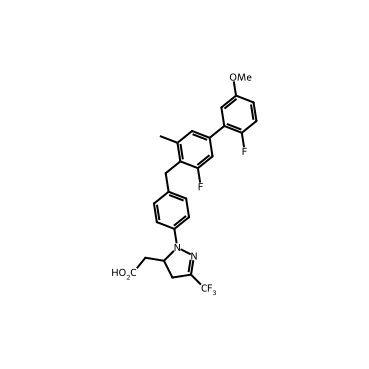 COc1ccc(F)c(-c2cc(C)c(Cc3ccc(N4N=C(C(F)(F)F)CC4CC(=O)O)cc3)c(F)c2)c1